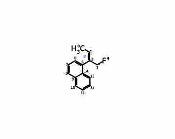 C/C=C(/[CH]F)c1cccc2ccccc12